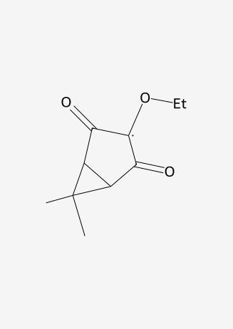 CCO[C]1C(=O)C2C(C1=O)C2(C)C